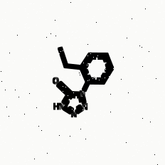 CCc1ccccc1-n1nn[nH]c1=O